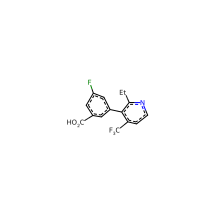 CCc1nccc(C(F)(F)F)c1-c1cc(F)cc(C(=O)O)c1